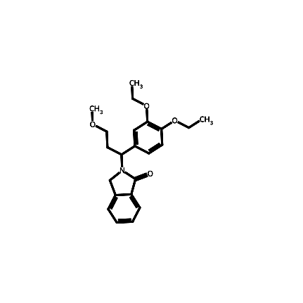 CCOc1ccc(C(CCOC)N2Cc3ccccc3C2=O)cc1OCC